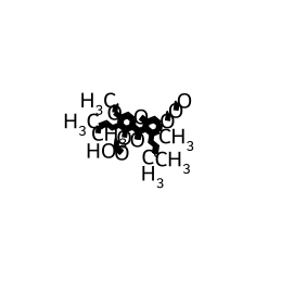 CCOc1cc2oc3cc(OCOC=O)c(C)c(CC=C(C)C)c3c(=O)c2c(OCC(=O)O)c1CC=C(C)C